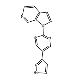 c1cc2ccn(-c3ncc(-c4cc[nH]n4)cn3)c2cn1